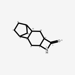 O=C1NC2CC3C4CCC(C4)C3CC12